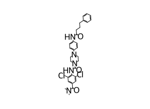 CN(C)C(=O)c1cc(Cl)c(NC(=O)N2CCN(c3ccc(NC(=O)CCCc4ccccc4)cc3)CC2)c(Cl)c1